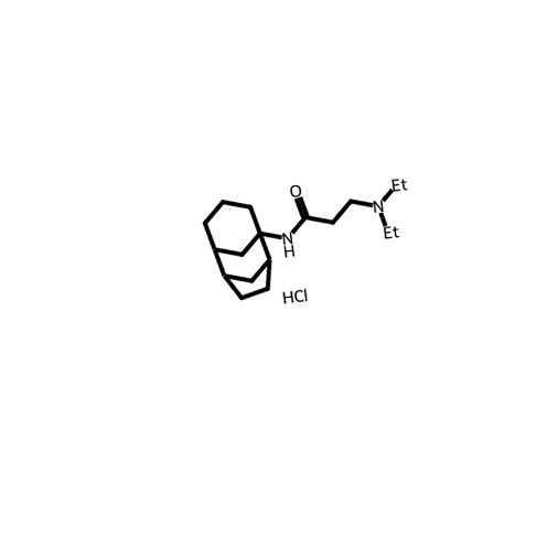 CCN(CC)CCC(=O)NC12CCCC(C1)C1CCC2C1.Cl